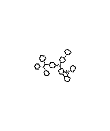 c1ccc(C(=C(c2ccccc2)c2ccc(N(c3ccc(-c4ccccc4)cc3)c3ccc4c5ccccc5n(-c5ccccc5)c4c3)cc2)c2ccccc2)cc1